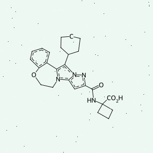 O=C(NC1(C(=O)O)CCC1)c1cc2n3c(c(C4CCCCC4)n2n1)-c1ccccc1OCC3